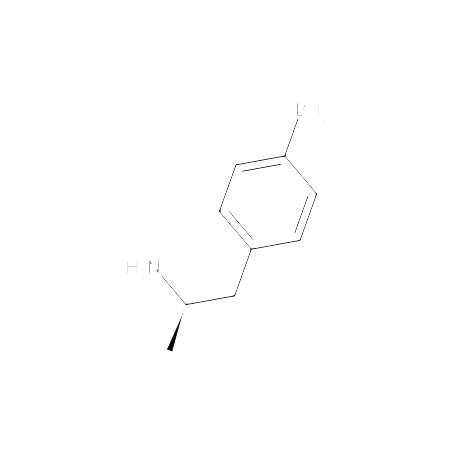 Bc1ccc(C[C@@H](C)N)cc1